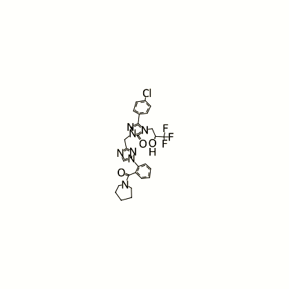 O=C(c1ccccc1-n1cnc(Cn2nc(-c3ccc(Cl)cc3)n(C[C@H](O)C(F)(F)F)c2=O)n1)N1CCCCC1